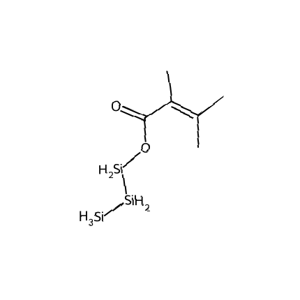 CC(C)=C(C)C(=O)O[SiH2][SiH2][SiH3]